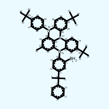 Bc1cc(C(C)(C)c2ccccc2)ccc1N1c2cc(C(C)(C)C)ccc2B2c3cc(C(C)(C)C)ccc3N(c3ccc(C(C)(C)C)cc3)c3cc(C)cc1c32